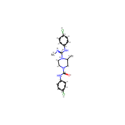 CC(C)C1CN(C(=O)Nc2ccc(Cl)cc2)CCN1/C(=N\C#N)Nc1ccc(Cl)cc1